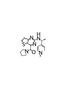 C=N/C=C\C(=C/C)[C@H](C)Nc1nc(C(=O)N2CCCC2)c2sccc2n1